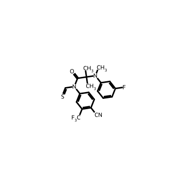 CN(c1cccc(F)c1)C(C)(C)C(=O)N(C=S)c1ccc(C#N)c(C(F)(F)F)c1